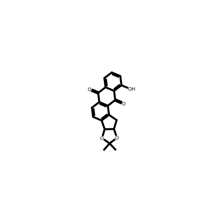 CC1(C)OC2Cc3c(ccc4c3C(=O)c3c(O)cccc3C4=O)C2O1